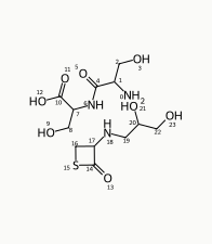 NC(CO)C(=O)NC(CO)C(=O)O.O=C1SCC1NCC(O)CO